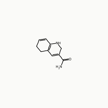 NC(=O)C1=CC2=C(C=CCC2)NC1